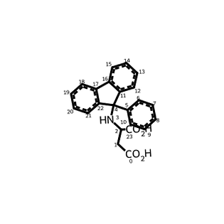 O=C(O)CC(NC1(c2ccccc2)c2ccccc2-c2ccccc21)C(=O)O